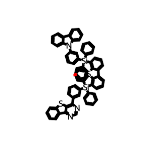 c1ccc([Si](c2ccccc2)(c2cccc(-c3ncnc4c3sc3ccccc34)c2)c2cccc3c2sc2c([Si](c4ccccc4)(c4ccccc4)c4cccc(-n5c6ccccc6c6ccccc65)c4)cccc23)cc1